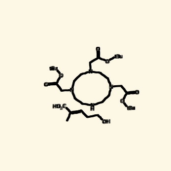 CC(=CCCO)C(=O)O.CC(C)(C)OC(=O)CN1CCNCCN(CC(=O)OC(C)(C)C)CCN(CC(=O)OC(C)(C)C)CC1